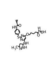 CC1=NNC(Nc2cc(OCCCCC(=O)NO)nc(Sc3ccc(NC(=O)C4CC4)cc3)n2)C1